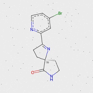 O=C1NCC[C@@]12CCC(c1cc(Br)ccn1)=N2